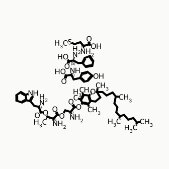 CSCC[C@H](N)C(=O)O.Cc1c(C)c2c(c(C)c1OC(=O)[C@@H](N)COC(=O)[C@@H](N)[C@@H](C)OC(=O)[C@@H](N)Cc1c[nH]c3ccccc13)CCC(C)(CCCC(C)CCCC(C)CCCC(C)C)O2.N[C@@H](Cc1ccc(O)cc1)C(=O)O.N[C@@H](Cc1ccccc1)C(=O)O